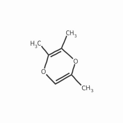 CC1=COC(C)=C(C)O1